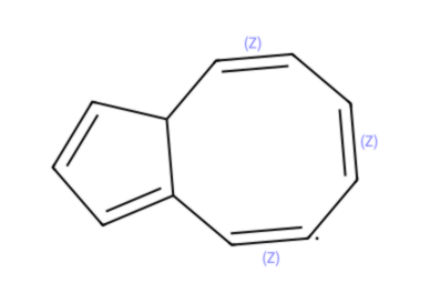 [C]1=C/C2=CC=CC2\C=C/C=C\1